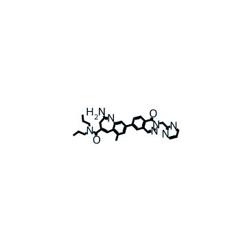 CCCN(CCC)C(=O)C1=Cc2c(C)cc(-c3ccc4c(=O)n(Cc5ncccn5)ncc4c3)cc2N=C(N)C1